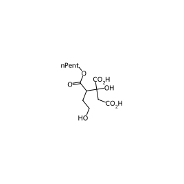 CCCCCOC(=O)C(CCO)C(O)(CC(=O)O)C(=O)O